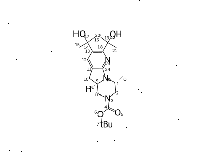 C[C@@H]1CN(C(=O)OC(C)(C)C)C[C@H]2Cc3cc(C(C)(C)O)c(C(C)(C)O)nc3N21